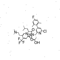 Cc1cc(F)cc(C)c1-c1cc(Cl)nc([C@H](CC(=O)O)NC(=O)[C@H](CC(C)C)n2cc(CCN(C)C)c(C(F)(F)F)cc2=O)c1